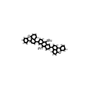 CC(C)c1c2cc(-c3ccc4c5c(cccc35)Oc3ccccc3-4)ccc2c(C(C)(C)C)c2cc(-c3ccc4c5c(cccc35)Oc3ccccc3-4)ccc12